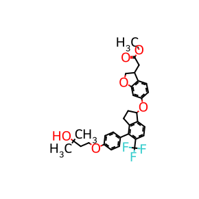 COC(=O)CC1COc2cc(O[C@@H]3CCc4c3ccc(C(F)(F)F)c4-c3ccc(OCCC(C)(C)O)cc3)ccc21